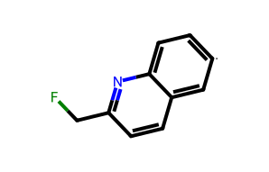 FCc1ccc2c[c]ccc2n1